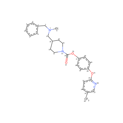 CCN(Cc1ccccc1)CC1CCN(C(=O)Oc2ccc(Oc3ccc(C(F)(F)F)cn3)cc2)CC1